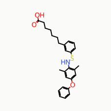 Cc1cc(Oc2ccccc2)cc(C)c1NSc1cccc(CCCCCCC(=O)O)c1